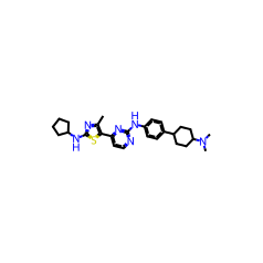 Cc1nc(NC2CCCC2)sc1-c1ccnc(Nc2ccc(C3CCC(N(C)C)CC3)cc2)n1